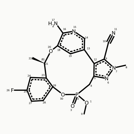 COP1(=O)Cc2nn(C)c(C#N)c2-c2cnc(N)c(c2)O[C@H](C)c2cc(F)ccc2O1